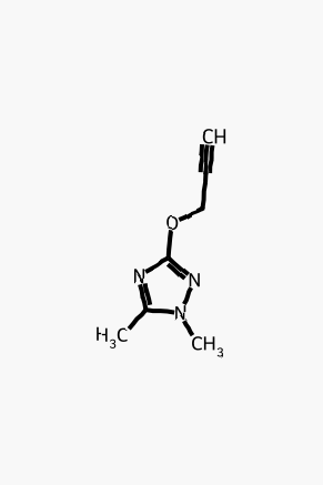 C#CCOc1nc(C)n(C)n1